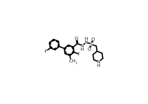 Cc1cc(-c2cccc(F)c2)cc(C(=O)NNS(=O)(=O)CC2CCNCC2)c1F